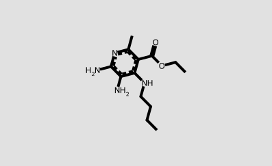 CCCCNc1c(N)c(N)nc(C)c1C(=O)OCC